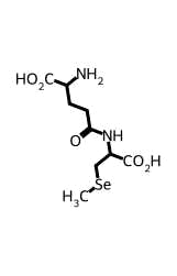 C[Se]CC(NC(=O)CCC(N)C(=O)O)C(=O)O